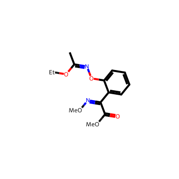 CCOC(C)=NOc1ccccc1C(=NOC)C(=O)OC